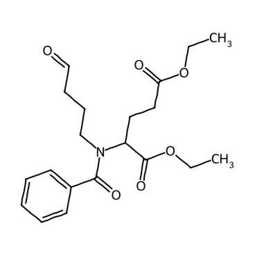 CCOC(=O)CCC(C(=O)OCC)N(CCCC=O)C(=O)c1ccccc1